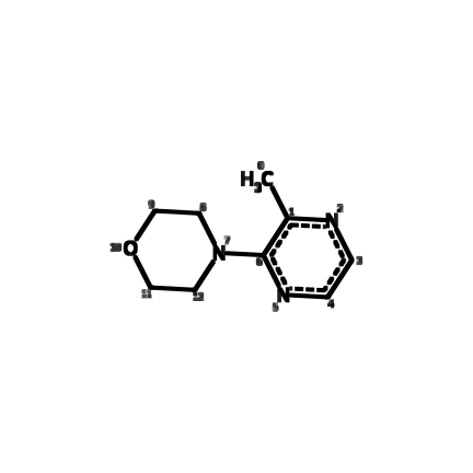 Cc1nccnc1N1CCOCC1